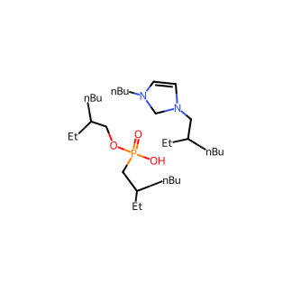 CCCCC(CC)CN1C=CN(CCCC)C1.CCCCC(CC)COP(=O)(O)CC(CC)CCCC